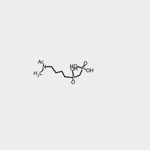 CC(=O)N(C)CCCCP(=O)(O)CP(=O)(O)O